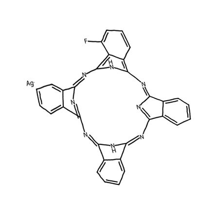 Fc1cccc2c3nc4nc(nc5[nH]c(nc6nc(nc([nH]3)c12)-c1ccccc1-6)c1ccccc51)-c1ccccc1-4.[Ag]